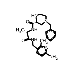 Cc1nc(N)ccc1CNC(=O)[C@H](C)NC(=O)[C@H]1CN(Cc2ccccc2)CCN1